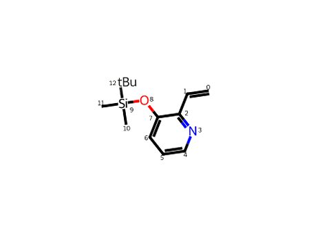 C=Cc1ncccc1O[Si](C)(C)C(C)(C)C